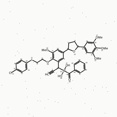 C#CC(c1cc(C2CCC(c3cc(OC)c(OC)c(OC)c3)O2)cc(OC)c1OCCSc1ccc(Cl)cc1)[N+](O)(O)C(=O)c1ccccc1